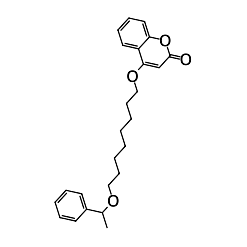 CC(OCCCCCCCCOc1cc(=O)oc2ccccc12)c1ccccc1